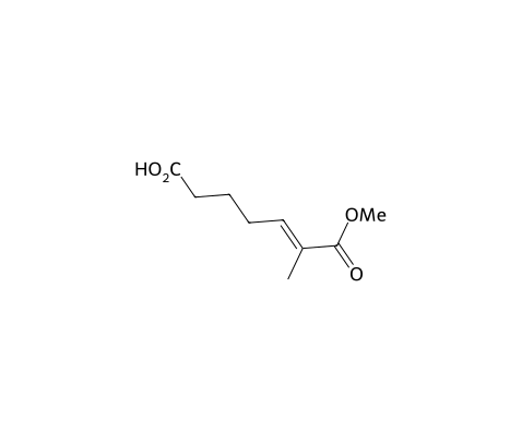 COC(=O)C(C)=CCCCC(=O)O